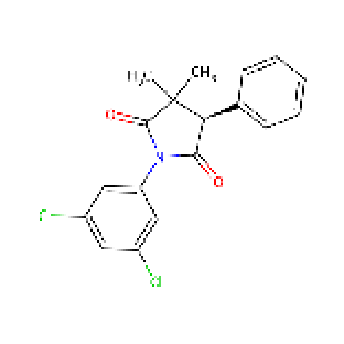 CC1(C)C(=O)N(c2cc(Cl)cc(Cl)c2)C(=O)[C@@H]1c1ccccc1